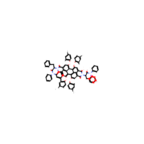 Cc1cc(C(C)C)ccc1Oc1cc2c3c(cc(Oc4ccc(C(C)C)cc4C)c4c5c(Oc6ccc(C(C)C)cc6C)cc6c7c(cc(Oc8ccc(C(C)C)cc8C)c(c1c34)c75)C(=O)N(C(Cc1ccccc1)C(=O)N(c1ccccc1)c1ccccc1)C6=O)C(=O)N(C(Cc1ccccc1)C(=O)N(c1ccccc1)c1ccccc1)C2=O